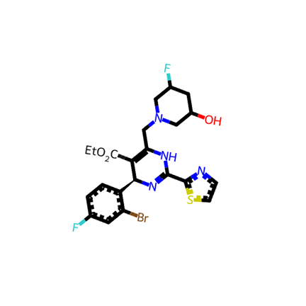 CCOC(=O)C1=C(CN2CC(O)CC(F)C2)NC(c2nccs2)=N[C@H]1c1ccc(F)cc1Br